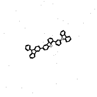 c1ccc(C2c3ccccc3-c3cc(-c4ccc5oc6c(-c7cccc(-n8c9ccccc9c9ccccc98)c7)cccc6c5c4)ccc32)cc1